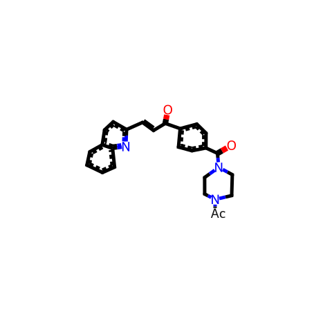 CC(=O)N1CCN(C(=O)c2ccc(C(=O)C=Cc3ccc4ccccc4n3)cc2)CC1